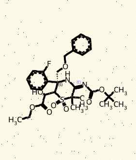 CCOC(=O)C(O)C1[C@@](COCc2ccccc2)(c2ccccc2F)N/C(=N/C(=O)OC(C)(C)C)C(C)(C)S1(=O)=O